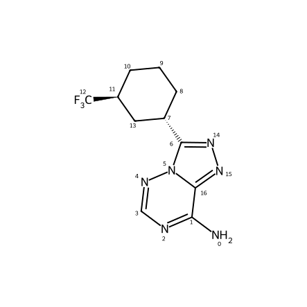 Nc1ncnn2c([C@H]3CCC[C@H](C(F)(F)F)C3)nnc12